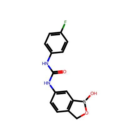 O=C(Nc1ccc(F)cc1)Nc1ccc2c(c1)B(O)OC2